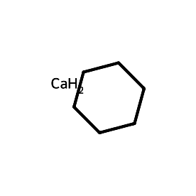 C1CCCCC1.[CaH2]